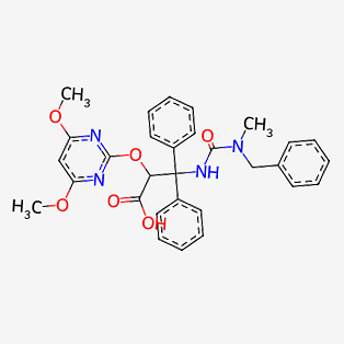 COc1cc(OC)nc(OC(C(=O)O)C(NC(=O)N(C)Cc2ccccc2)(c2ccccc2)c2ccccc2)n1